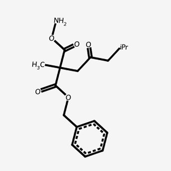 CC(C)CC(=O)CC(C)(C(=O)ON)C(=O)OCc1ccccc1